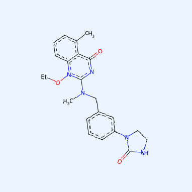 CCOn1c(N(C)Cc2cccc(N3CCNC3=O)c2)nc(=O)c2c(C)cccc21